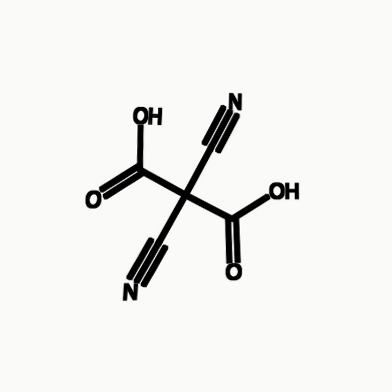 N#CC(C#N)(C(=O)O)C(=O)O